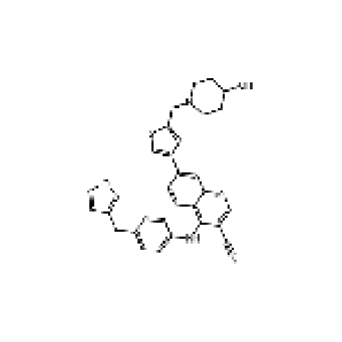 N#Cc1cnc2cc(-c3csc(CN4CCC(O)CC4)c3)ccc2c1Nc1ccc(Cc2ccoc2)cc1